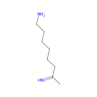 CC(=N)CCCCCCN